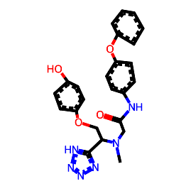 CN(CC(=O)Nc1ccc(Oc2ccccc2)cc1)C(COc1ccc(O)cc1)c1nnn[nH]1